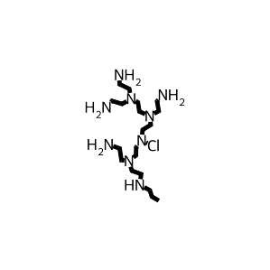 CCCNCCN(CCN)CCN(Cl)CCN(CCN)CCN(CCN)CCN